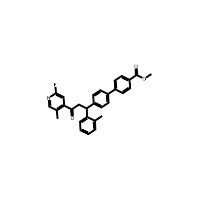 COC(=O)c1ccc(-c2ccc(C(CC(=O)c3cc(F)ncc3C)c3ccccc3C)cc2)cc1